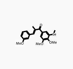 COc1cccc(/C=C(\C)C(=O)c2cc(OC)c(OC)c([Se]C)c2)c1